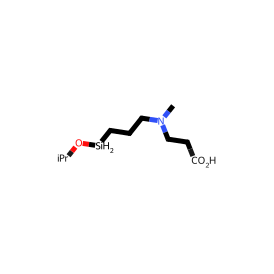 CC(C)O[SiH2]CCCN(C)CCC(=O)O